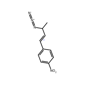 CC(/C=C/c1ccc([N+](=O)[O-])cc1)N=[N+]=[N-]